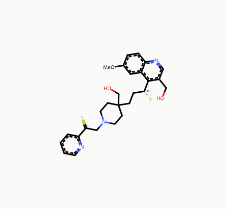 COc1ccc2ncc(CO)c([C@H](F)CCC3(CO)CCN(CC(=S)c4ccccn4)CC3)c2c1